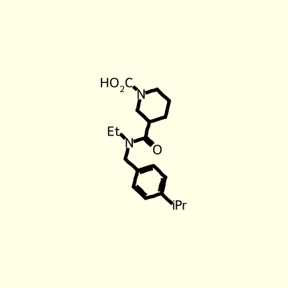 CCN(Cc1ccc(C(C)C)cc1)C(=O)C1CCCN(C(=O)O)C1